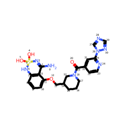 NC1=NS(O)(O)Nc2cccc(OCC3CCCN(C(=O)c4ccnc(-n5cncn5)c4)C3)c21